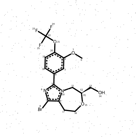 COc1cc(-c2nc(Br)c3n2C[C@@H](CO)OCC3)ccc1OC(F)(F)F